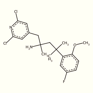 COc1ccc(F)cc1C(C)(C)CC(C)(N)Cc1cc(Cl)nc(Cl)c1